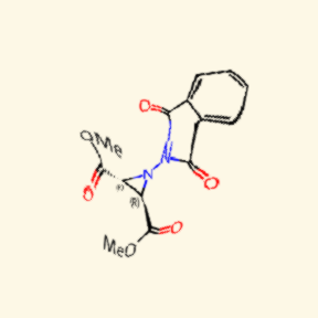 COC(=O)[C@H]1[C@H](C(=O)OC)N1N1C(=O)c2ccccc2C1=O